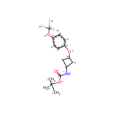 CC(C)(C)OC(=O)NC1CC(Oc2ccc(OC(F)(F)F)cc2)C1